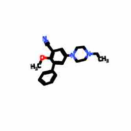 CCN1CCN(c2cc(C#N)c(OC)c(-c3ccccc3)c2)CC1